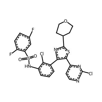 O=S(=O)(Nc1cccc(-c2nc(C3CCOCC3)sc2-c2ccnc(Cl)n2)c1Cl)c1cc(F)ccc1F